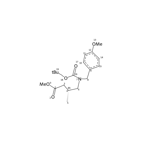 COC(=O)C[C@@H](C)CN(Cc1ccc(OC)cc1)C(=O)OC(C)(C)C